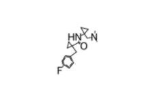 CN(C)CC1(NC(=O)C2(Cc3ccc(F)cc3)CC2)CC1